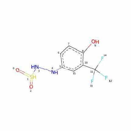 O=[SH](=O)NNc1ccc(O)c(C(F)(F)F)c1